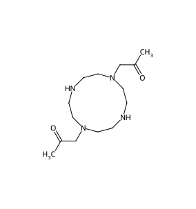 CC(=O)CN1CCNCCN(CC(C)=O)CCNCC1